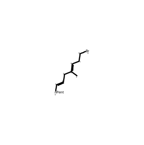 CCCCC/C=C/C/C(C)=C/CCBr